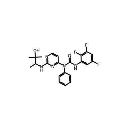 CC(Nc1nccc(N(C(=O)Nc2cc(F)cc(F)c2F)c2ccccc2)n1)C(C)(C)O